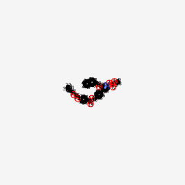 CC(C)(C)OC(=O)ON1CCC(c2ccc(COC(=O)c3ccc(OCOCC[Si](C)(C)C)cc3)cc2)C(OCc2ccc3ccccc3c2)C1